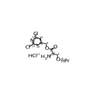 CCCOC[C@H](N)C(=O)OCc1cc(Cl)nc(Cl)c1.Cl